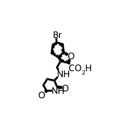 O=C1CCC(NCc2c(C(=O)O)oc3cc(Br)ccc23)C(=O)N1